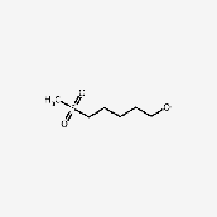 CS(=O)(=O)CCCCC[O]